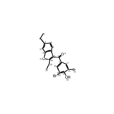 CCc1ccc2c(C(=O)c3cc(Br)c(O)c(Br)c3)c(CC)oc2c1